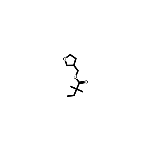 CCC(C)(C)C(=O)OCC1CCOC1